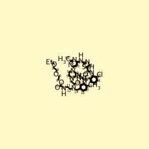 CCOCCOCCOC(=O)NCCN(Cc1ccc(C)c(N=[N+]=[N-])c1)C(=O)CN1CCN(c2cc(Nc3ncc(C(=O)Nc4c(C)cccc4Cl)s3)nc(C)n2)CC1